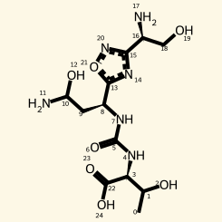 CC(O)[C@H](NC(=O)N[C@@H](CC(N)O)c1nc([C@@H](N)CO)no1)C(=O)O